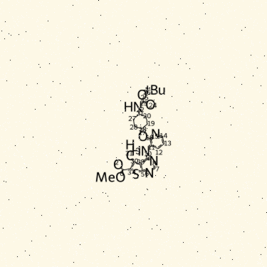 COC(=O)c1sc2ncnc(Nc3cccnc3O[C@H]3CC[C@H](NC(=O)OC(C)(C)C)CC3)c2c1C